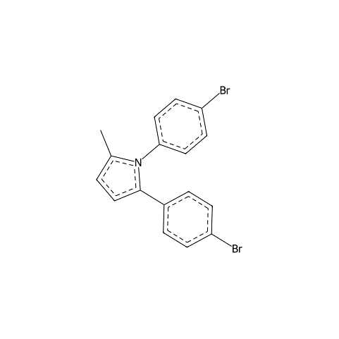 Cc1ccc(-c2ccc(Br)cc2)n1-c1ccc(Br)cc1